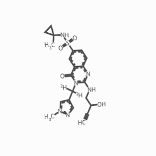 [2H]C([2H])(c1cnn(C)c1)n1c(NCC(O)C#C)nc2ccc(S(=O)(=O)NC3(C)CC3)cc2c1=O